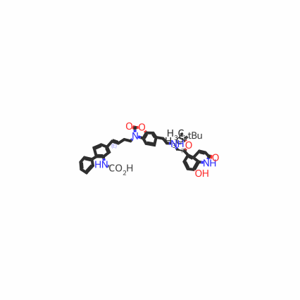 CC(C)(C)[Si](C)(C)O[C@H](CNCCc1ccc2c(c1)oc(=O)n2CC/C=C/c1ccc(-c2ccccc2)c(NC(=O)O)c1)c1ccc(O)c2[nH]c(=O)ccc12